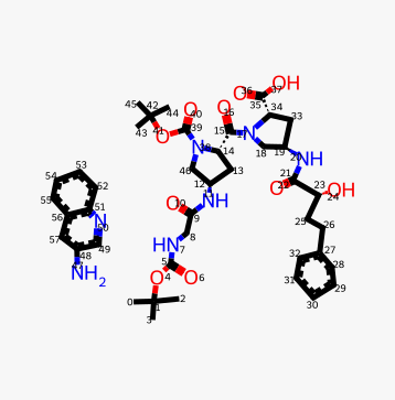 CC(C)(C)OC(=O)NCC(=O)N[C@@H]1C[C@@H](C(=O)N2C[C@H](NC(=O)[C@H](O)CCc3ccccc3)C[C@H]2C(=O)O)N(C(=O)OC(C)(C)C)C1.Nc1cnc2ccccc2c1